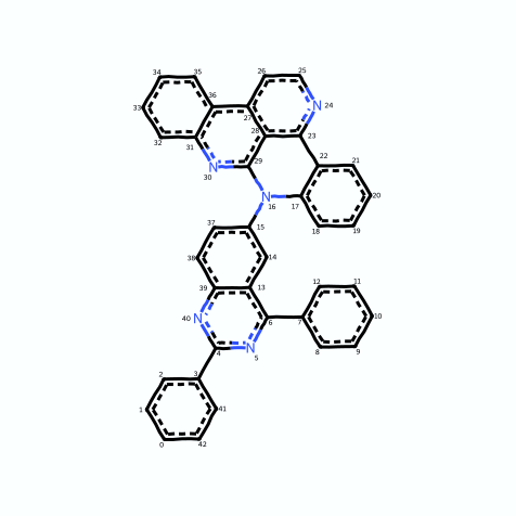 c1ccc(-c2nc(-c3ccccc3)c3cc(N4c5ccccc5-c5nccc6c5c4nc4ccccc46)ccc3n2)cc1